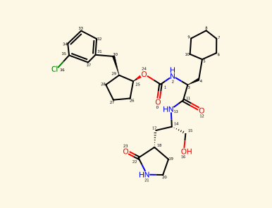 O=C(N[C@@H](CC1CCCCC1)C(=O)N[C@H](CO)C[C@@H]1CCNC1=O)O[C@H]1CCC[C@H]1Cc1cccc(Cl)c1